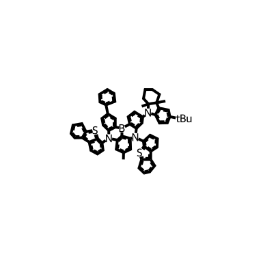 Cc1cc2c3c(c1)N(c1cccc4c1sc1ccccc14)c1cc(N4c5ccc(C(C)(C)C)cc5C5(C)CCCCC45C)ccc1B3c1cc(-c3ccccc3)ccc1N2c1cccc2c1sc1ccccc12